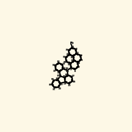 Fc1cc2ccc3ccc(N4c5ccccc5B5c6ccccc6-c6cccc4c65)c4ccc(c1)c2c34